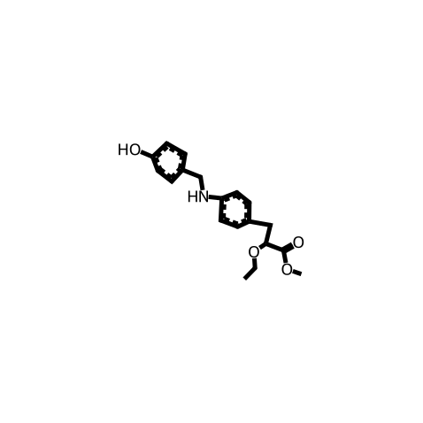 CCOC(Cc1ccc(NCc2ccc(O)cc2)cc1)C(=O)OC